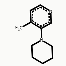 FC(F)(F)c1ccncc1N1CCCCC1